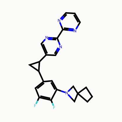 Fc1cc(C2CC2c2cnc(-c3ncccn3)nc2)cc(N2CC3(CCC3)C2)c1F